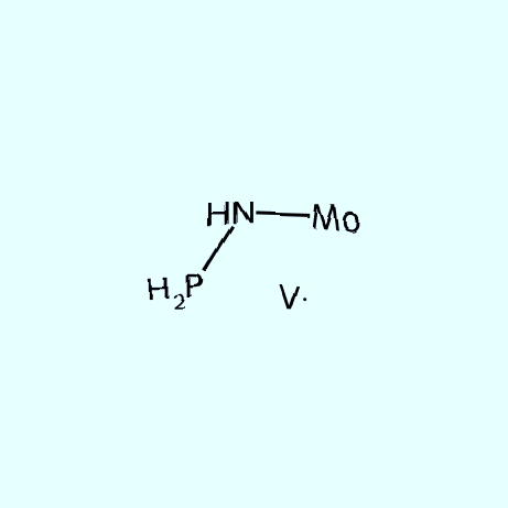 P[NH][Mo].[V]